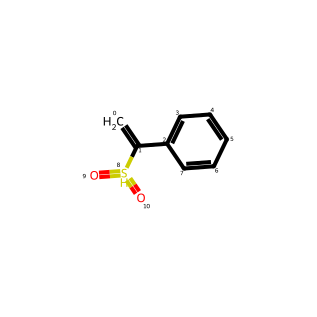 C=C(c1ccccc1)[SH](=O)=O